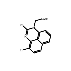 CCC1=Nc2c(CC)ccc3cccc(c23)N1COC